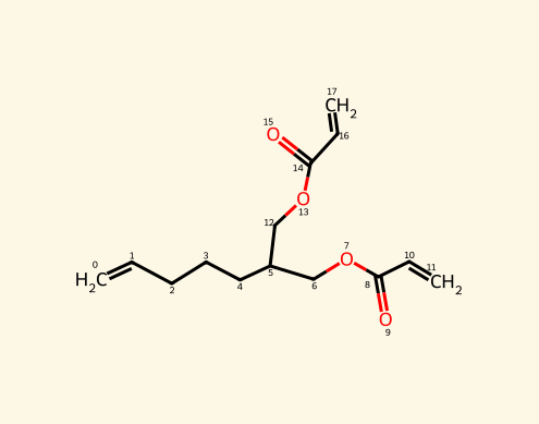 C=CCCCC(COC(=O)C=C)COC(=O)C=C